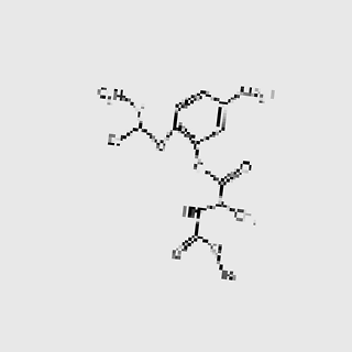 CCC(Oc1ccc(C(=O)O)cc1OC(=O)C(C)NC(=O)OC(C)(C)C)O[N+](=O)[O-]